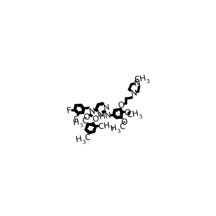 COc1cc(Nc2nccc(N(Cc3ccc(F)c(F)c3)C(=O)Oc3c(C)cc(C)cc3C)n2)cc(OCCCN2CCN(C)CC2)c1OC